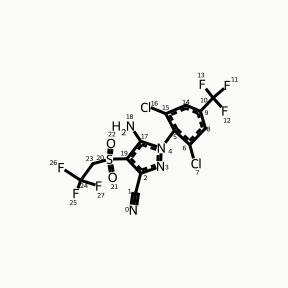 N#Cc1nn(-c2c(Cl)cc(C(F)(F)F)cc2Cl)c(N)c1S(=O)(=O)CC(F)(F)F